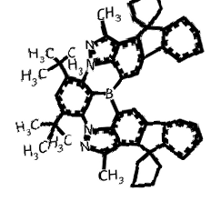 Cc1nn2c3c(cc4c(c13)C1(CCCC1)c1ccccc1-4)B1c3c-2c(C(C)(C)C)cc(C(C)(C)C)c3-n2nc(C)c3c4c(cc1c32)-c1ccccc1C41CCCC1